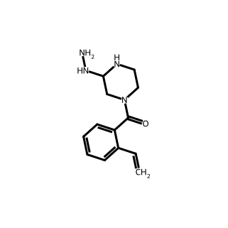 C=Cc1ccccc1C(=O)N1CCNC(NN)C1